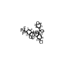 O=C(Nc1ccc(C(F)(F)F)cc1Cl)c1cc(Cl)ccc1NC(=O)C1CCOCC1